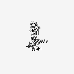 COCC1(C(=O)N[C@@H](CC(C)C)B(O)O)CC(CNC(=O)c2nccc3ccccc23)=NO1